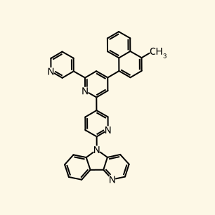 Cc1ccc(-c2cc(-c3cccnc3)nc(-c3ccc(-n4c5ccccc5c5ncccc54)nc3)c2)c2ccccc12